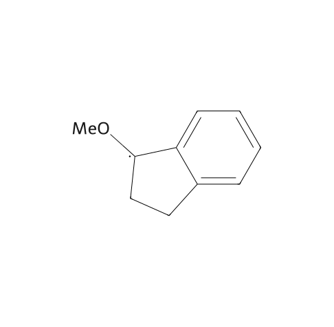 CO[C]1CCc2ccccc21